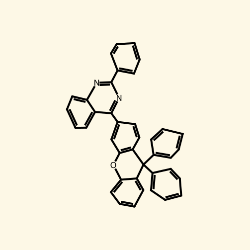 c1ccc(-c2nc(-c3ccc4c(c3)Oc3ccccc3C4(c3ccccc3)c3ccccc3)c3ccccc3n2)cc1